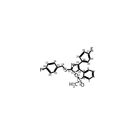 CS(=O)(=O)c1ccccc1-c1sc(SCc2ccc(F)cc2)nc1-c1ccc(F)cc1